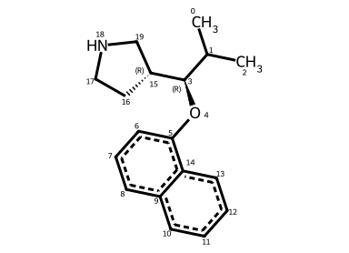 CC(C)[C@@H](Oc1cccc2ccccc12)[C@@H]1CCNC1